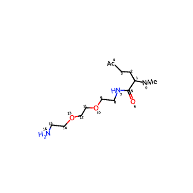 CNC(CCC(C)=O)C(=O)NCCOCCOCCN